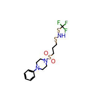 O=S(=O)(CCCSNSC(F)(F)F)N1CCN(c2ccccc2)CC1